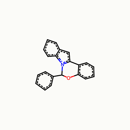 c1ccc(C2Oc3ccccc3-c3cc4ccccc4n32)cc1